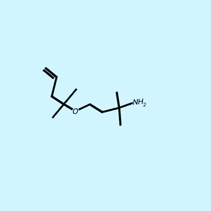 C=CCC(C)(C)OCCC(C)(C)N